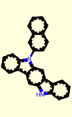 c1ccc2cc(-n3c4ccccc4c4cc5[nH]c6ccccc6c5cc43)ccc2c1